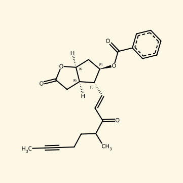 CC#CCCC(C)C(=O)C=C[C@@H]1[C@H]2CC(=O)O[C@H]2C[C@H]1OC(=O)c1ccccc1